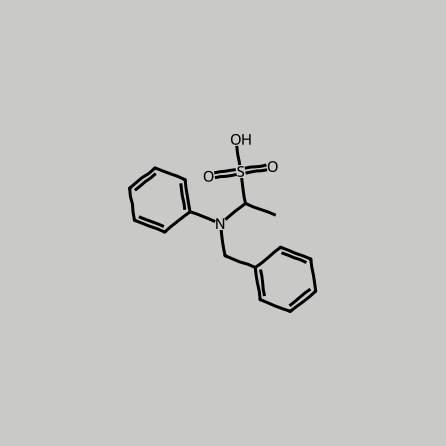 CC(N(Cc1ccccc1)c1ccccc1)S(=O)(=O)O